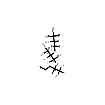 FC(F)(F)C(F)(CCI)OC(F)(F)C(F)(OC(F)(F)C(F)(F)C(F)(F)F)C(F)(F)F